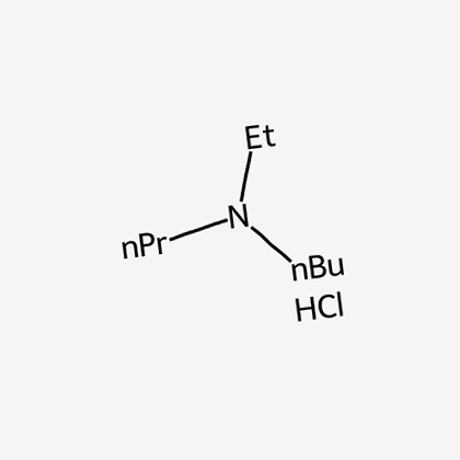 CCCCN(CC)CCC.Cl